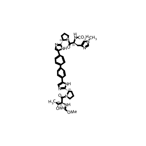 COCN[C@H](C(=O)N1CCC[C@H]1c1ncc(-c2ccc(-c3ccc(-c4cnc([C@@H]5CCCN5C(=O)[C@H](Cc5cn(C)cn5)NC(=O)O)[nH]4)cc3)cc2)[nH]1)[C@@H](C)OC